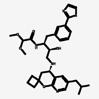 COC(OC)C(=O)N[C@@H](Cc1cccc(-c2nccs2)c1)[C@@H](O)CN[C@H]1CC2(CCC2)Oc2ncc(CC(C)C)cc21